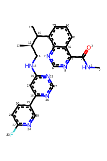 CNC(=O)c1ncnc2c(C(C)[C@H](C)CNc3cc(-c4ccc(F)nc4)ncn3)cccc12